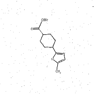 COC(=O)C1CCC(c2ncc(C)o2)CC1